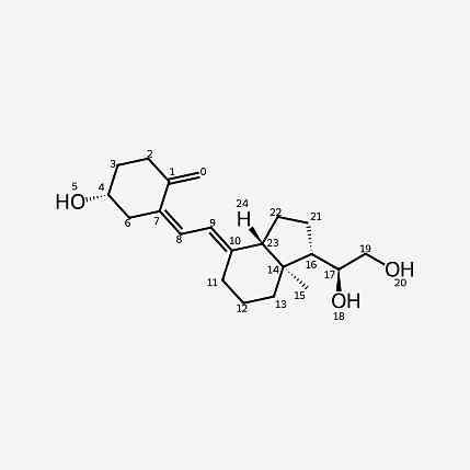 C=C1CC[C@@H](O)C/C1=C/C=C1\CCC[C@]2(C)[C@@H]([C@H](O)CO)CC[C@@H]12